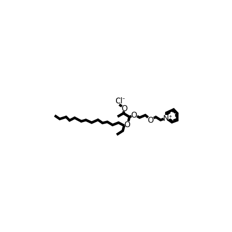 CCCCCCCCCCCCCC(CC)OC(OCCOCC[n+]1ccccc1)C(C)OC.[Cl-]